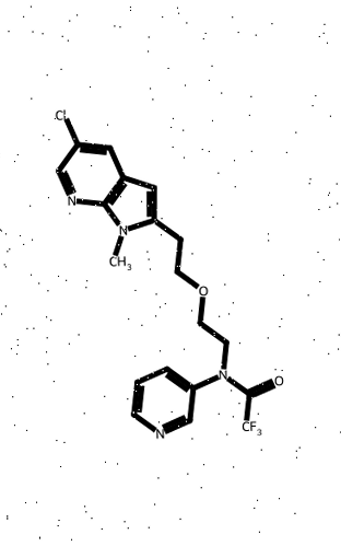 Cn1c(CCOCCN(C(=O)C(F)(F)F)c2cccnc2)cc2cc(Cl)cnc21